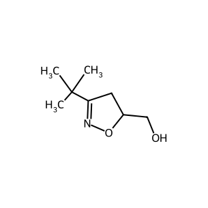 CC(C)(C)C1=NOC(CO)C1